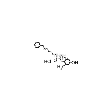 Cc1cc(O)cc(C)c1CC(N)C(=O)NCCCCSCc1ccccc1.Cl